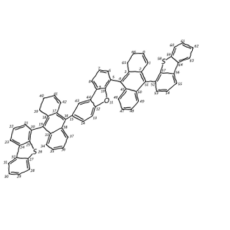 C1=Cc2c(c(-c3cccc4c3oc3ccc(-c5c6c(c(-c7cccc8c7sc7ccccc78)c7ccccc57)CCC=C6)cc34)c3ccccc3c2-c2cccc3c2sc2ccccc23)CC1